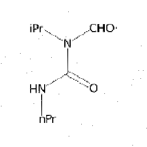 CCCNC(=O)N([C]=O)C(C)C